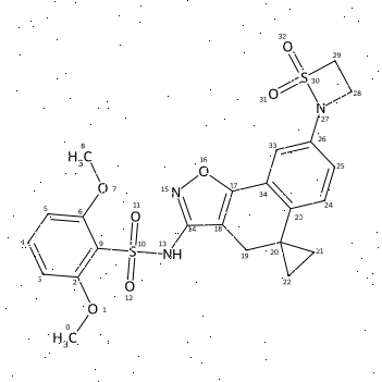 COc1cccc(OC)c1S(=O)(=O)Nc1noc2c1CC1(CC1)c1ccc(N3CCS3(=O)=O)cc1-2